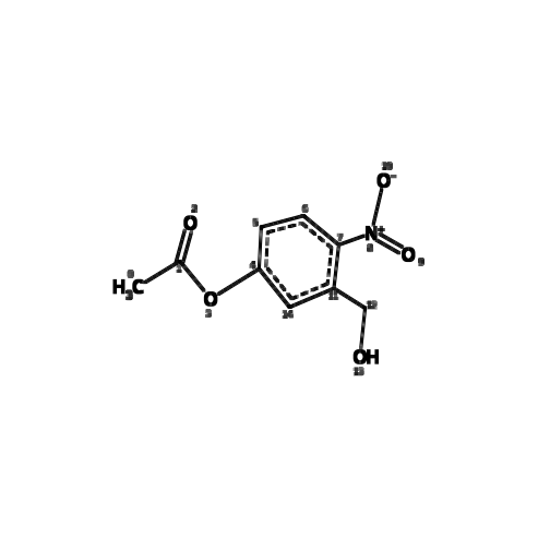 CC(=O)Oc1ccc([N+](=O)[O-])c(CO)c1